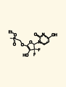 CCOP(C)(=O)COC1=C(O)C(F)(F)C(n2ccc(O)nc2=O)O1